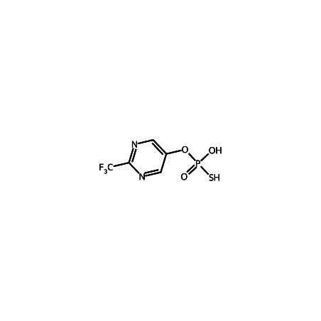 O=P(O)(S)Oc1cnc(C(F)(F)F)nc1